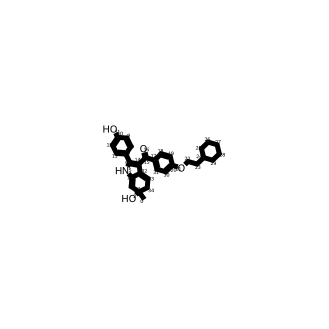 CC1(O)C=c2[nH]c(-c3ccc(O)cc3)c(C(=O)c3ccc(OCCC4CCCCC4)cc3)c2=CC1